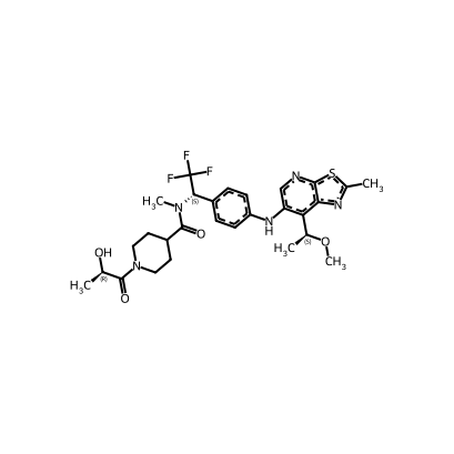 CO[C@@H](C)c1c(Nc2ccc([C@H](N(C)C(=O)C3CCN(C(=O)[C@@H](C)O)CC3)C(F)(F)F)cc2)cnc2sc(C)nc12